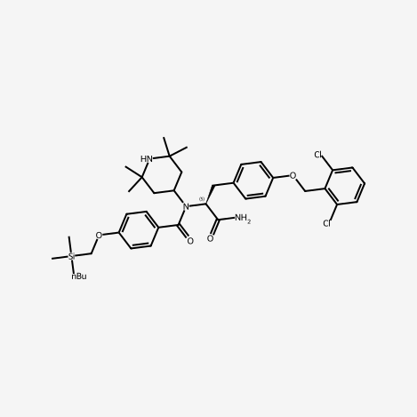 CCCC[Si](C)(C)COc1ccc(C(=O)N(C2CC(C)(C)NC(C)(C)C2)[C@@H](Cc2ccc(OCc3c(Cl)cccc3Cl)cc2)C(N)=O)cc1